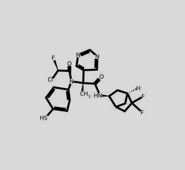 C[C@](C(=O)N[C@H]1C[C@@H]2CC1CC2(F)F)(c1cncnc1)N(C(=O)[C@H](F)Cl)c1ccc(S)cc1